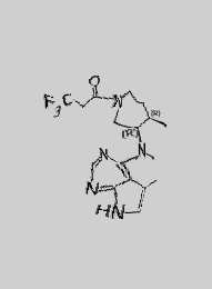 Cc1c[nH]c2ncnc(N(C)[C@H]3CN(C(=O)CC(F)(F)F)CC[C@H]3C)c12